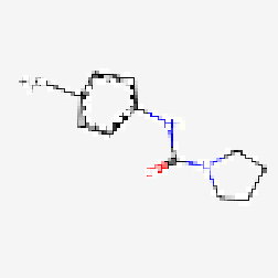 [CH2]c1ccc(NC(=O)N2CCCC2)cc1